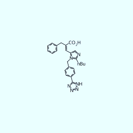 CCCCc1ncc(C=C(Cc2ccccc2)C(=O)O)n1Cc1ccc(-c2nnn[nH]2)cc1